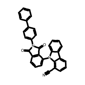 N#Cc1cccc2c3ccccc3n(-c3cccc4c3C(=O)N(c3ccc(-c5ccccc5)cc3)C4=O)c12